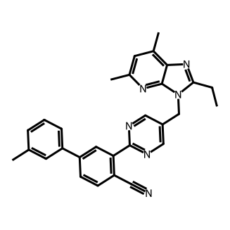 CCc1nc2c(C)cc(C)nc2n1Cc1cnc(-c2cc(-c3cccc(C)c3)ccc2C#N)nc1